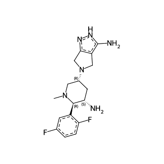 CN1C[C@H](N2Cc3n[nH]c(N)c3C2)C[C@H](N)[C@H]1c1cc(F)ccc1F